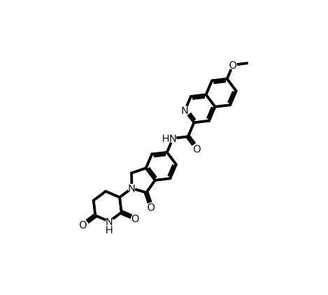 COc1ccc2cc(C(=O)Nc3ccc4c(c3)CN(C3CCC(=O)NC3=O)C4=O)ncc2c1